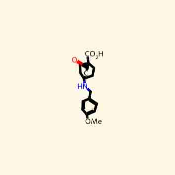 COc1ccc(CNC23CCC(C(=O)O)(CC2)C(=O)C3)cc1